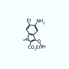 CCOC(=O)c1c(OC(C)C)c2cc(N)c(CC)cc2n1C